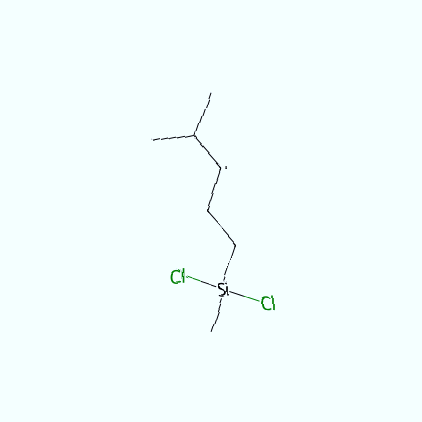 CC(C)[CH]CC[Si](C)(Cl)Cl